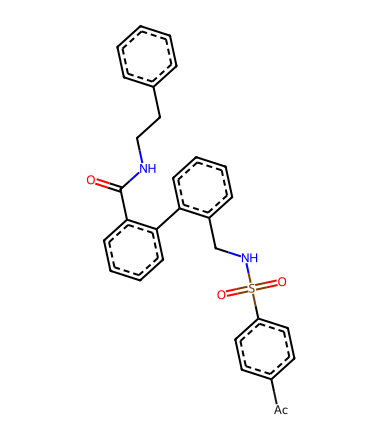 CC(=O)c1ccc(S(=O)(=O)NCc2ccccc2-c2ccccc2C(=O)NCCc2ccccc2)cc1